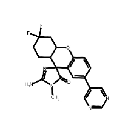 CN1C(=O)C2(N=C1N)c1cc(-c3cncnc3)ccc1OC1CC(F)(F)CCC12